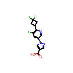 O=C(O)c1cnn(-c2cnc(C3CC(F)(F)C3)c(F)c2)c1